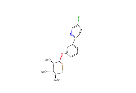 CC(=O)O[C@@H]1[C@@H](OC(C)=O)[C@@H](Oc2cccc(-c3ccc(F)cn3)c2)SC[C@H]1OC(C)=O